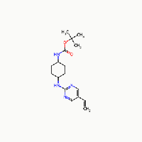 C=Cc1cnc(NC2CCC(NC(=O)OC(C)(C)C)CC2)nc1